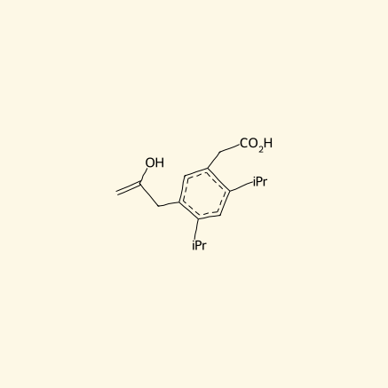 C=C(O)Cc1cc(CC(=O)O)c(C(C)C)cc1C(C)C